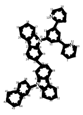 c1ccc(-c2cc(-c3ccccn3)cc(-n3c4ccccc4c4ccc(-c5ccc6c7ccccc7n(-c7ccc8ccccc8c7)c6c5)cc43)c2)nc1